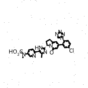 Cc1nc([C@@H]2CCc3cc(-c4cc(Cl)ccc4-n4cnnn4)cc(=O)n32)[nH]c1-c1ccc(N(C)C(=O)O)cn1